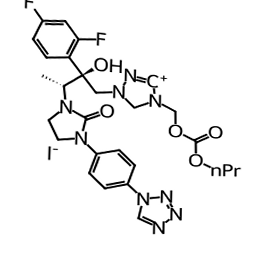 CCCOC(=O)OCN1[C+]=NN(C[C@@](O)(c2ccc(F)cc2F)[C@@H](C)N2CCN(c3ccc(-n4cnnn4)cc3)C2=O)C1.[I-]